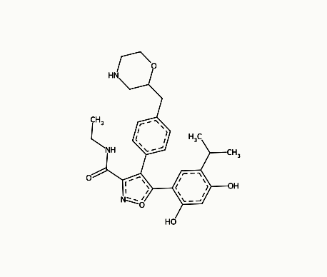 CCNC(=O)c1noc(-c2cc(C(C)C)c(O)cc2O)c1-c1ccc(CC2CNCCO2)cc1